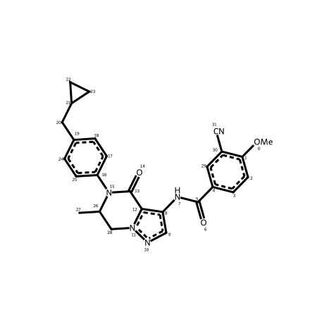 COc1ccc(C(=O)Nc2cnn3c2C(=O)N(c2ccc(CC4CC4)cc2)C(C)C3)cc1C#N